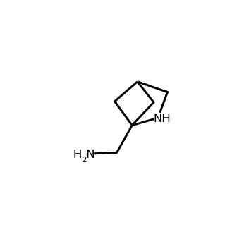 NCC12CC(CN1)C2